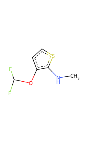 CNc1sccc1OC(F)F